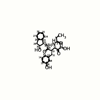 CCC(=O)N[C@H](C(=O)NO)[C@@H](Cc1cccc(O)c1)C(=O)N[C@H]1c2ccccc2C[C@H]1O